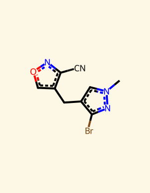 Cn1cc(Cc2conc2C#N)c(Br)n1